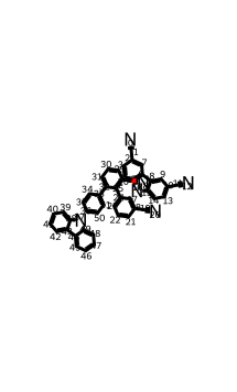 N#Cc1ccc2c(c1)c1cc(C#N)ccc1n2-c1c(C#N)cccc1-c1c(C#N)cccc1-c1ccc(-n2c3ccccc3c3ccccc32)cc1